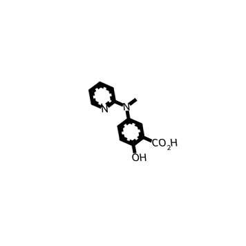 CN(c1ccc(O)c(C(=O)O)c1)c1ccccn1